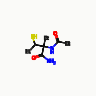 CCC(=O)NC(CC)(C(N)=O)C(S)CC